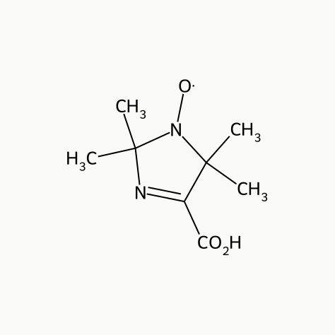 CC1(C)N=C(C(=O)O)C(C)(C)N1[O]